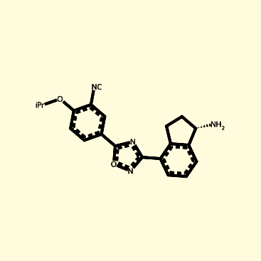 [C-]#[N+]c1cc(-c2nc(-c3cccc4c3CC[C@@H]4N)no2)ccc1OC(C)C